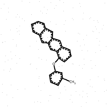 Cc1cccc(Oc2cccc3cc4cc5ccccc5cc4cc23)c1